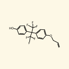 C=CCOc1ccc(C(c2ccc(O)cc2)(C(F)(F)F)C(F)(F)F)cc1